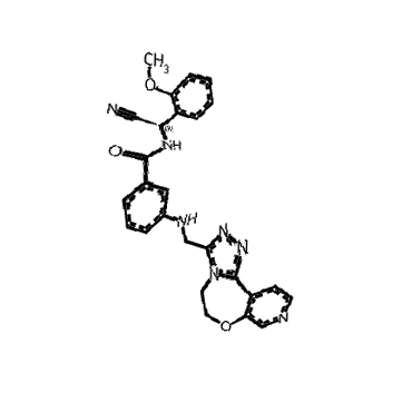 COc1ccccc1[C@H](C#N)NC(=O)c1cccc(NCc2nnc3n2CCOc2cnccc2-3)c1